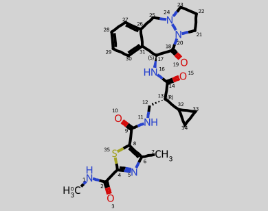 CNC(=O)c1nc(C)c(C(=O)NC[C@H](C(=O)N[C@@H]2C(=O)N3CCCN3Cc3ccccc32)C2CC2)s1